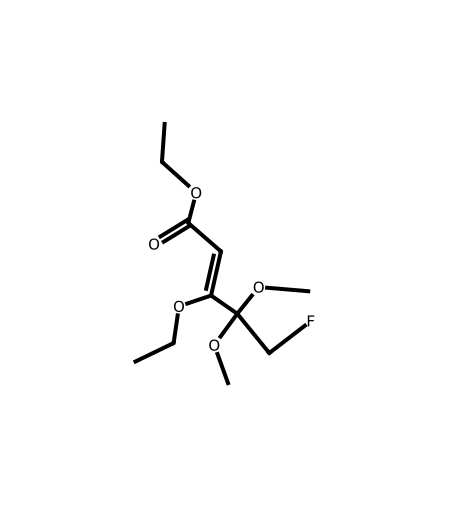 CCOC(=O)/C=C(\OCC)C(CF)(OC)OC